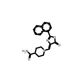 NC(=O)C1CCN(C=C2N=C(c3cccc4ccccc34)OC2=O)CC1